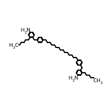 CCCCCCc1cc(N)ccc1Cc1ccc(CCCCCCCCCCCCCCCc2ccc(Cc3ccc(N)cc3CCCCCC)cc2)cc1